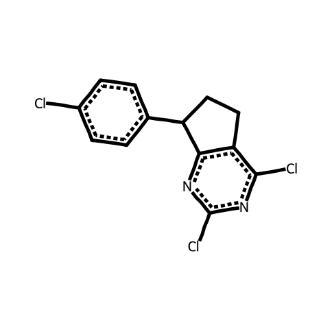 Clc1ccc(C2CCc3c(Cl)nc(Cl)nc32)cc1